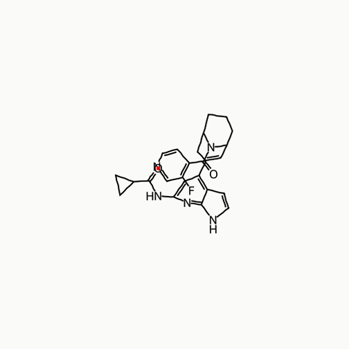 O=C(Nc1cc(C2=CC3CCCC(C2)N3C(=O)c2ccncc2F)c2cc[nH]c2n1)C1CC1